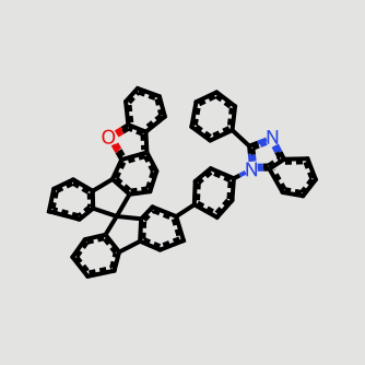 c1ccc(-c2nc3ccccc3n2-c2ccc(-c3ccc4c(c3)C3(c5ccccc5-4)c4ccccc4-c4c3ccc3c4oc4ccccc43)cc2)cc1